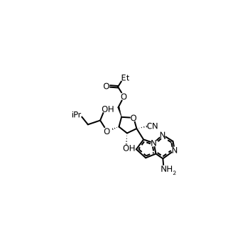 CCC(=O)OC[C@H]1O[C@@](C#N)(c2ccc3c(N)ncnn23)[C@H](O)[C@@H]1OC(O)CC(C)C